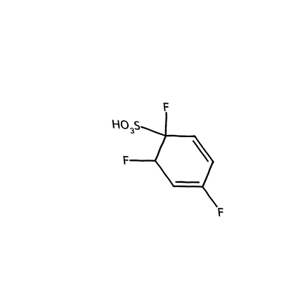 O=S(=O)(O)C1(F)C=CC(F)=CC1F